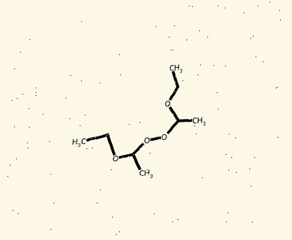 CCOC(C)OOC(C)OCC